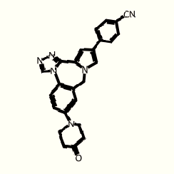 N#Cc1ccc(-c2cc3n(c2)Cc2cc(N4CCC(=O)CC4)ccc2-n2cnnc2-3)cc1